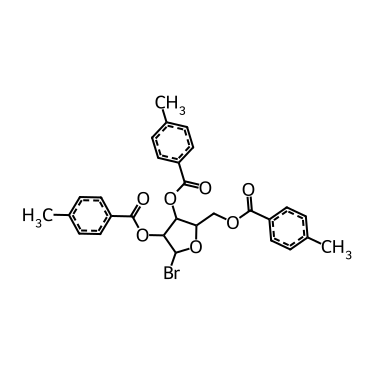 Cc1ccc(C(=O)OCC2OC(Br)C(OC(=O)c3ccc(C)cc3)C2OC(=O)c2ccc(C)cc2)cc1